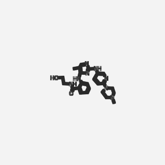 Cc1cnc(Nc2ccc(N3CCN(C)CC3)nc2)nc1Nc1ccccc1C(=O)NCCO